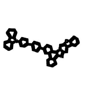 c1ccc2c(c1)oc1cn3c(cc12)nc1c2ccccc2c2cc(-c4ccc(-c5ccc(-n6c7ccccc7c7ccccc76)cc5)cc4)ccc2c13